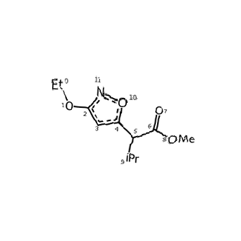 CCOc1cc(C(C(=O)OC)C(C)C)on1